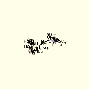 CC[N+]1=C(/C=C/C=C2/N(CCCCCC(=O)NCC#Cc3cc([N+](=O)[O-])c([C@@H](OCc4cn([C@H]5C[C@@H](O)[C@@H](COP(=O)(O)OP(=O)(O)OP(=O)(O)O)O5)c(=O)[nH]c4=O)C(C)(C)C)cc3OC)c3ccc(S(=O)(=O)O)cc3C2(C)C)C(C)(C)c2cc(S(=O)(=O)O)ccc21